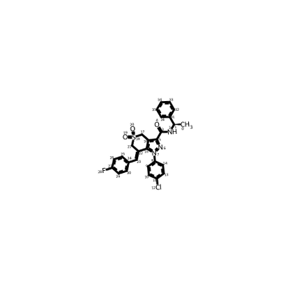 C[C@@H](NC(=O)c1nn(-c2ccc(Cl)cc2)c2c1CS(=O)(=O)C/C2=C\c1ccc(F)cc1)c1ccccc1